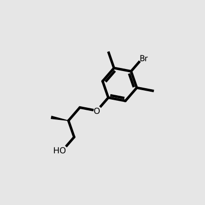 Cc1cc(OC[C@H](C)CO)cc(C)c1Br